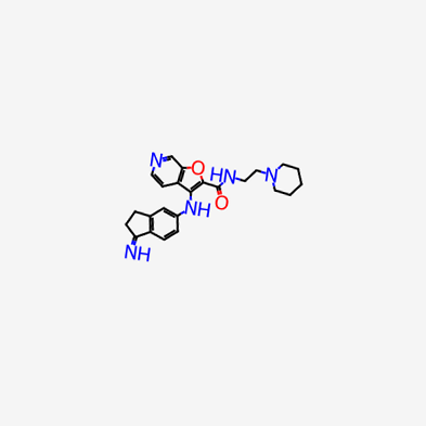 N=C1CCc2cc(Nc3c(C(=O)NCCN4CCCCC4)oc4cnccc34)ccc21